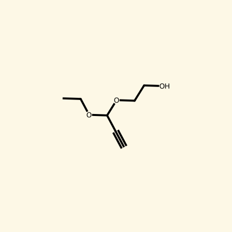 C#CC(OCC)OCCO